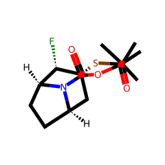 CC(=O)S[C@@H]1C[C@H]2CC[C@@H]([C@@H]1F)N2C(=O)OC(C)(C)C